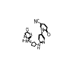 N#Cc1ccc(=O)n(-c2ccc(N[C@H]3CC[C@H](Nc4cnc(Cl)cn4)C3)nc2)c1